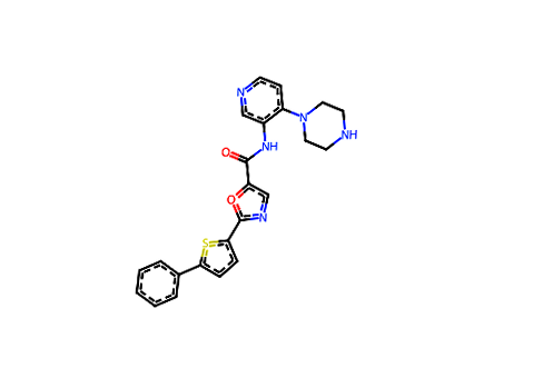 O=C(Nc1cnccc1N1CCNCC1)c1cnc(-c2ccc(-c3ccccc3)s2)o1